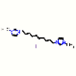 Cn1cc[n+](CCCCCCCCCC[n+]2ccn(C)c2)c1.[I-].[I-]